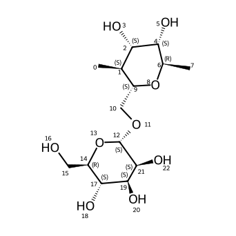 C[C@H]1[C@H](O)[C@H](O)[C@@H](C)O[C@@H]1CO[C@H]1O[C@H](CO)[C@@H](O)[C@H](O)[C@@H]1O